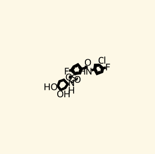 O=C(Nc1ccc(F)c(Cl)c1)c1ccc(F)c(S(=O)(=O)NC2CCC(O)C(O)C2)c1